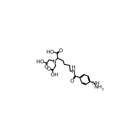 NNc1ccc(C(=O)NCCCCC(C(=O)O)N(CC(=O)O)CC(=O)O)cc1